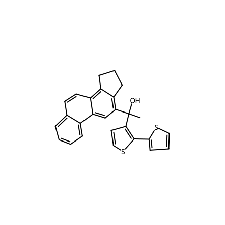 CC(O)(c1ccsc1-c1cccs1)c1cc2c(ccc3ccccc32)c2c1CCC2